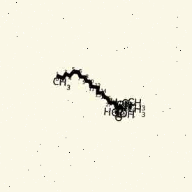 CCCCC/C=C\CCCCCCCCCCCCCC(O)(C[N+](C)(C)C)P(=O)(O)O